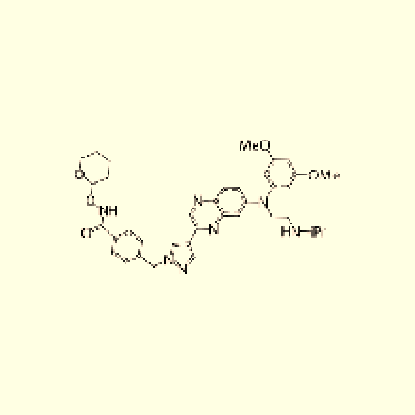 COc1cc(OC)cc(N(CCNC(C)C)c2ccc3ncc(-c4cnn(Cc5ccc(C(=O)NOC6CCCCO6)cc5)c4)nc3c2)c1